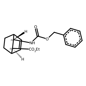 CCOC(=O)[C@H]1C2C=CC(CC2)[C@@H]1NC(=O)OCc1ccccc1